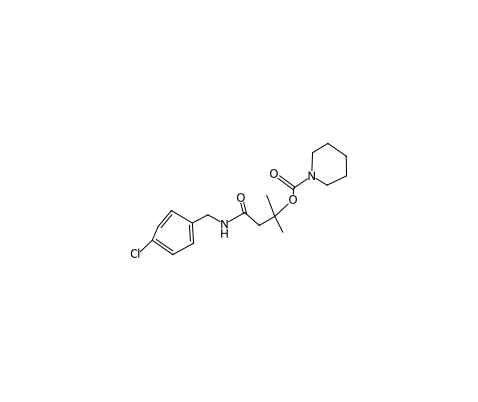 CC(C)(CC(=O)NCc1ccc(Cl)cc1)OC(=O)N1CCCCC1